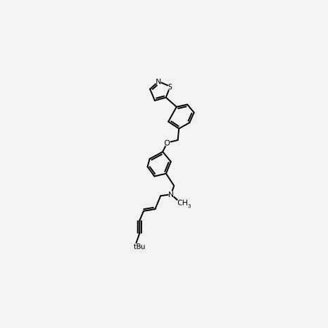 CN(CC=CC#CC(C)(C)C)Cc1cccc(OCc2cccc(-c3ccns3)c2)c1